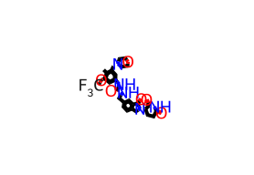 Cc1c(CN2CCOCC2)cc(NC(=O)NCc2ccc3c(c2)C(=O)N(C2CCC(=O)NC2=O)C3)cc1OC(F)(F)F